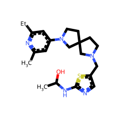 CCc1cc(N2CCC3(CCN(Cc4cnc(NC(C)O)s4)C3)C2)cc(C)n1